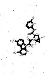 Cc1ccc2c(c1)c1c(N)ncnc1n2C(C)C(=O)N1[C@@H]2C[C@@H]2C[C@H]1C(=O)Nc1cccc(Br)n1